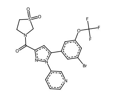 O=C(c1cc(-c2cc(Br)cc(OC(F)(F)F)c2)n(-c2cccnc2)n1)N1CCS(=O)(=O)C1